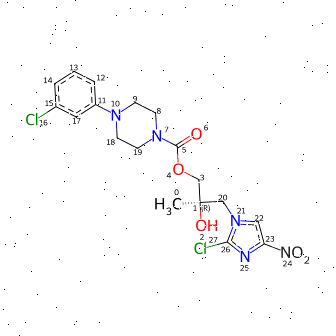 C[C@](O)(COC(=O)N1CCN(c2cccc(Cl)c2)CC1)Cn1cc([N+](=O)[O-])nc1Cl